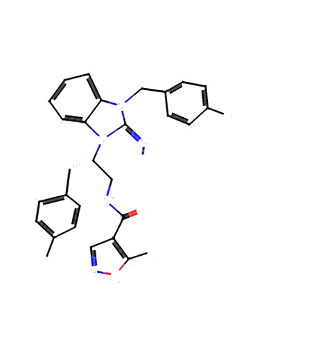 Cc1ccc(C[C@@H](CNC(=O)c2cnoc2C)n2/c(=N\C(=O)O)n(Cc3ccc(C)cc3)c3ccccc32)cc1